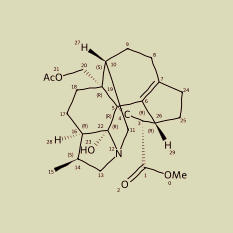 COC(=O)[C@@H]1C[C@@]23C4=C(CC[C@@H]5CN6C[C@@H](C)[C@@H](CC[C@@]52COC(C)=O)[C@]63O)CC[C@@H]41